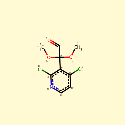 COC(C=O)(OC)c1c(Cl)ccnc1Cl